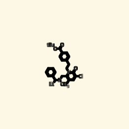 CCC(c1ccccc1)N(C)Cc1c(Cl)cc(Cl)c(=O)n1CCc1ccc(C(=O)OC(C)(C)C)cc1